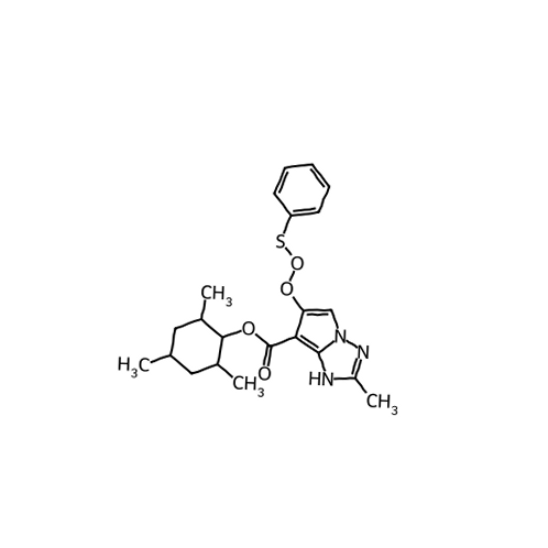 Cc1nn2cc(OOSc3ccccc3)c(C(=O)OC3C(C)CC(C)CC3C)c2[nH]1